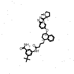 CN1CCC[C@@]1(C)c1nnc2ccc(O[C@@H]3CC[C@H](CCCC(=O)Nc4cc(C(N)=O)cc(C(C)(C)C)c4)c4ccccc43)cn12